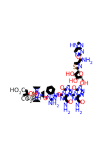 Cn1nnc2c(C(N)=O)ncn2c1=O.Cn1nnc2c(C(N)=O)ncn2c1=O.NC(=O)c1csc([C@@H]2O[C@H](CO)[C@@H](O)[C@H]2O)n1.Nc1n[n+]([O-])c2ccccc2[n+]1[O-].O=C(O)CC(O)(CC(=O)O)C(=O)O.S=P(N1CC1)(N1CC1)N1CC1.c1ncc2[nH]cnc2n1